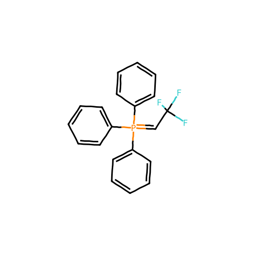 FC(F)(F)C=P(c1ccccc1)(c1ccccc1)c1ccccc1